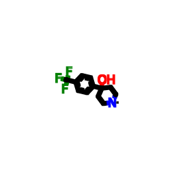 OC1(c2ccc(C(F)(F)F)cc2)CC[N]CC1